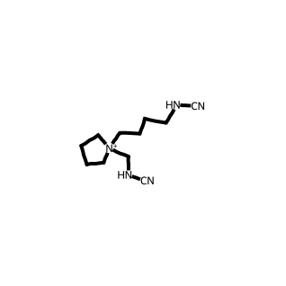 N#CNCCCC[N+]1(CNC#N)CCCC1